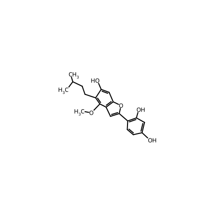 COc1c(CCC(C)C)c(O)cc2oc(-c3ccc(O)cc3O)cc12